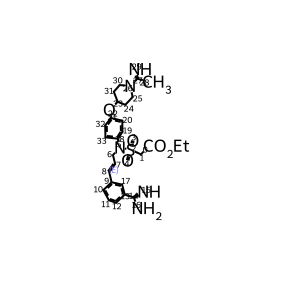 CCOC(=O)CS(=O)(=O)N(C/C=C/c1cccc(C(=N)N)c1)c1ccc(OC2CCN(C(C)=N)CC2)cc1